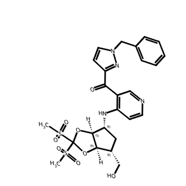 CS(=O)(=O)C1(S(C)(=O)=O)O[C@@H]2[C@@H](CO)C[C@@H](Nc3ccncc3C(=O)c3ccn(Cc4ccccc4)n3)[C@@H]2O1